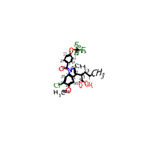 CCCC(C(=O)O)c1c(C)n(C(=O)c2ccc(OC(F)(F)F)cc2)c2cc(Cl)c(OC)cc12